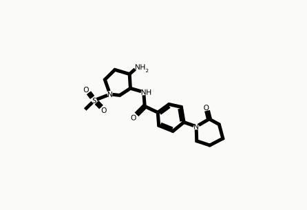 CS(=O)(=O)N1CCC(N)C(NC(=O)c2ccc(N3CCCCC3=O)cc2)C1